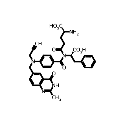 C#CCN(Cc1ccc2nc(C)[nH]c(=O)c2c1)c1ccc(C(=O)N(C(=O)CC[C@H](N)C(=O)O)[C@H](Cc2ccccc2)C(=O)O)cc1